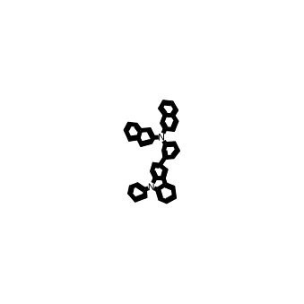 c1ccc(-n2c3ccccc3c3cc(-c4cccc(N(c5ccc6ccccc6c5)c5ccc6ccccc6c5)c4)ccc32)cc1